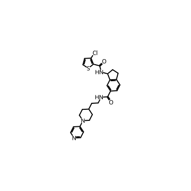 O=C(NCCC1CCN(c2ccncc2)CC1)c1ccc2c(c1)C(NC(=O)c1sccc1Cl)CC2